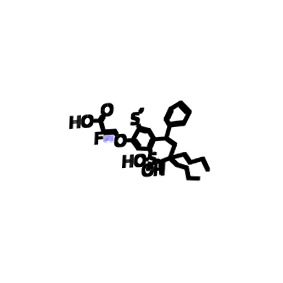 CCCCC1(CCCC)CC(c2ccccc2)c2cc(SC)c(O/C=C(\F)C(=O)O)cc2S(O)(O)C1C